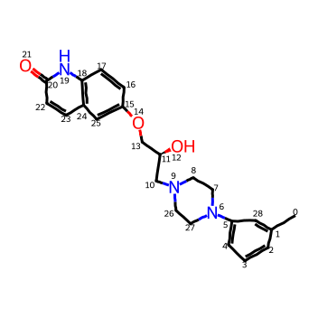 Cc1cccc(N2CCN(C[C@H](O)COc3ccc4[nH]c(=O)ccc4c3)CC2)c1